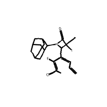 C=C/C=C(\C(F)=C(/C)Cl)C1N(C2C3CC4CC(C3)CC2C4)C(=O)C1(C)I